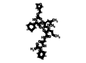 CCCC(NC(=O)[C@H](CC(C)C)NC(=O)[C@@H](NC(=O)OCC1CCOC1)C1CCCCC1)C(=O)C(=O)NCC(=O)N[C@H](C(N)=O)c1ccccc1